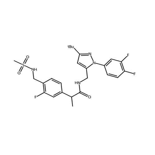 CC(C(=O)NCc1cc(C(C)(C)C)nn1-c1ccc(F)c(F)c1)c1ccc(CNS(C)(=O)=O)c(F)c1